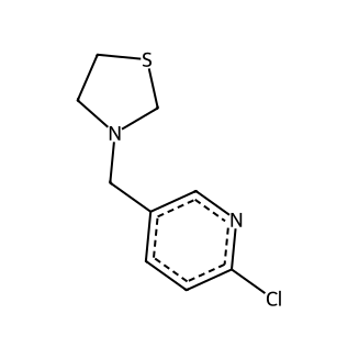 Clc1ccc(CN2CCSC2)cn1